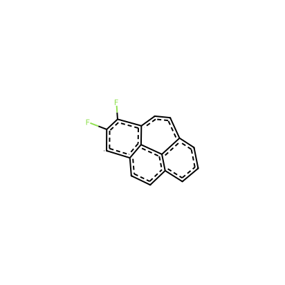 Fc1[c]c2ccc3cccc4ccc(c1F)c2c34